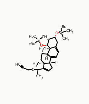 C#CCC[C@H](C)C1=CC[C@H]2C3=CC=C4C[C@@H](O[Si](C)(C)C(C)(C)C)C[C@H](O[Si](C)(C)C(C)(C)C)[C@]4(C)[C@H]3CC[C@]12C